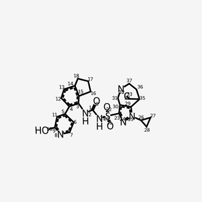 O=C(Nc1c(-c2ccnc(O)c2)ccc2c1CCC2)NS(=O)(=O)c1nn(C2CC2)c2c1CN1CCC2CC1